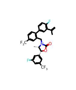 C=C(C)c1cc(-c2ccc(C(F)(F)F)cc2CN2C(=O)O[C@H](c3cc(F)cc(C(F)(F)F)c3)[C@@H]2C)ccc1F